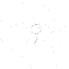 Cc1ncc(/C=C(/C(=O)O)C(C)(C)C)cn1